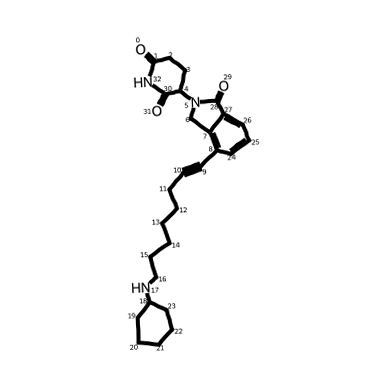 O=C1CCC(N2Cc3c(C#CCCCCCCNC4CCCCC4)cccc3C2=O)C(=O)N1